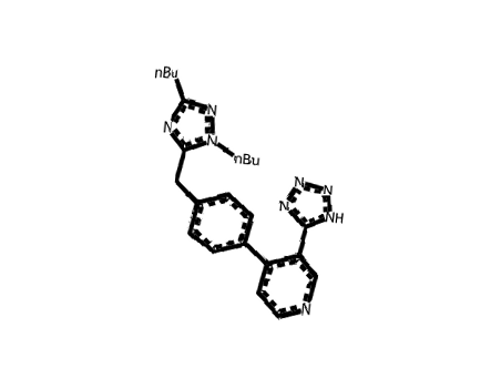 CCCCc1nc(Cc2ccc(-c3ccncc3-c3nnn[nH]3)cc2)n(CCCC)n1